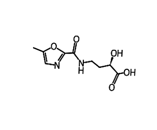 Cc1cnc(C(=O)NCC[C@@H](O)C(=O)O)o1